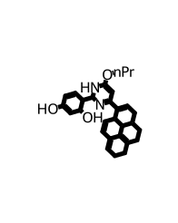 CCCOC1=CC(C2=CCC3CCC4=C5C(=CCC4)C=CC2C53)=NC(C2C=CC(O)=CC2O)N1